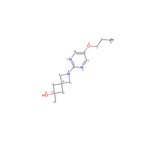 CC(C)CCOc1cnc(N2CC3(C2)CC(C)(O)C3)nc1